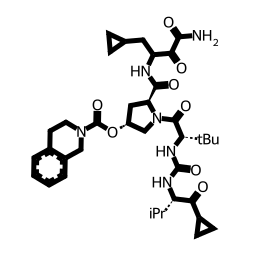 CC(C)[C@H](NC(=O)N[C@H](C(=O)N1C[C@H](OC(=O)N2CCc3ccccc3C2)C[C@H]1C(=O)NC(CC1CC1)C(=O)C(N)=O)C(C)(C)C)C(=O)C1CC1